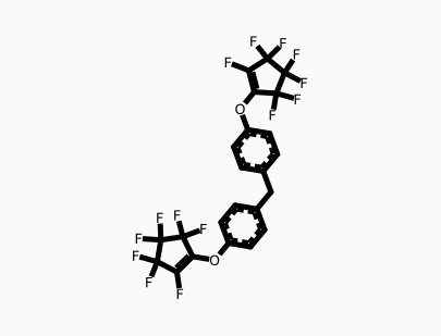 FC1=C(Oc2ccc(Cc3ccc(OC4=C(F)C(F)(F)C(F)(F)C4(F)F)cc3)cc2)C(F)(F)C(F)(F)C1(F)F